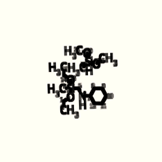 CCO[Si](C)(CNC1CCCCC1)OCC.CO[SiH](C)OC